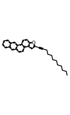 CCCCCCCCCCC#Cc1cc2c(ccc3c4cc5ccccc5cc4ccc23)o1